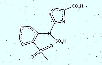 CS(=O)(=O)c1ccccc1N(c1nc(C(=O)O)cs1)S(=O)(=O)O